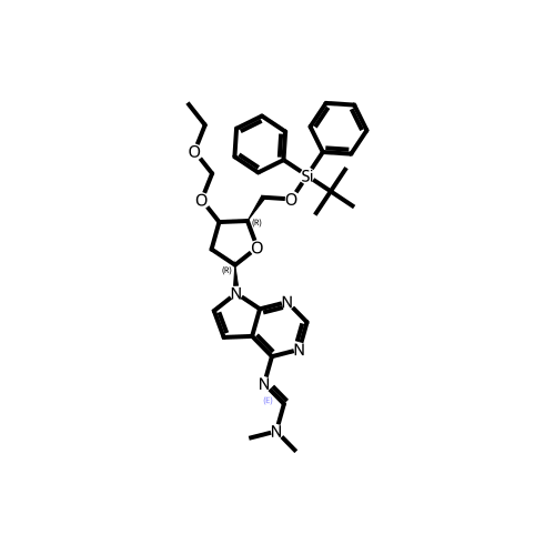 CCOCOC1C[C@H](n2ccc3c(/N=C/N(C)C)ncnc32)O[C@@H]1CO[Si](c1ccccc1)(c1ccccc1)C(C)(C)C